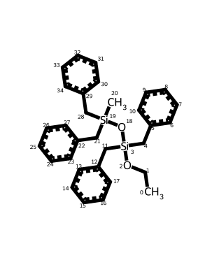 CCO[Si](Cc1ccccc1)(Cc1ccccc1)O[Si](C)(Cc1ccccc1)Cc1ccccc1